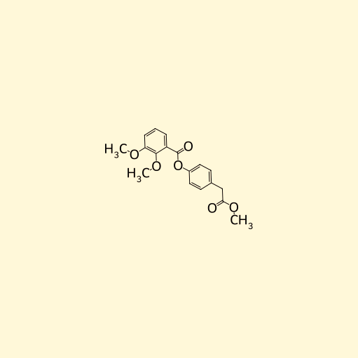 COC(=O)Cc1ccc(OC(=O)c2cccc(OC)c2OC)cc1